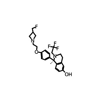 C[C@@]1(c2ccc(OCCN3CC(CF)C3)cc2)c2ccc(O)cc2CCN1CC(F)(F)F